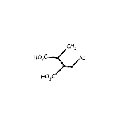 CC(=O)CC(C(=O)O)C(C)C(=O)O